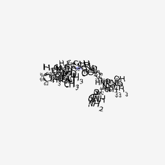 CN[C@H](C(=O)N[C@H](C(=O)N(C)[C@H](/C=C(\C)C(=O)NS(=O)(=O)c1ccc(CNN(C(=O)[C@@H](C)C(C)NC(=O)O)C(C)CCC(=O)NC(N)=O)cc1)C(C)C)C(C)(C)C)C(C)(C)c1ccccc1